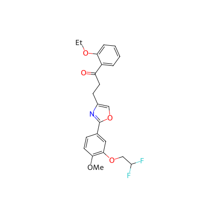 CCOc1ccccc1C(=O)CCc1coc(-c2ccc(OC)c(OCC(F)F)c2)n1